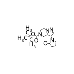 CC(C)(C)OC(=O)N1CCN2N=CC(N3CCCC3=O)C2C1